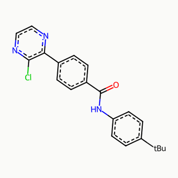 CC(C)(C)c1ccc(NC(=O)c2ccc(-c3nccnc3Cl)cc2)cc1